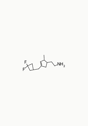 CC1C=C(CC2CC(F)(F)C2)CC1CCN